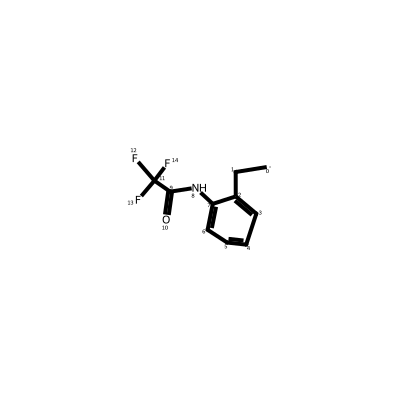 [CH2]Cc1ccccc1NC(=O)C(F)(F)F